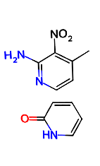 Cc1ccnc(N)c1[N+](=O)[O-].O=c1cccc[nH]1